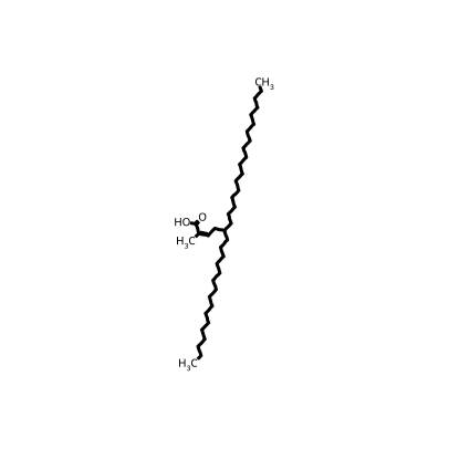 CCCCCCCCCCCCCCCCCCC(CC=C(C)C(=O)O)CCCCCCCCCCCCCCCC